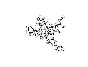 COC(=O)N[C@H](C(=O)N[C@@H](Cc1ccccc1)[C@@H](O)CN(Cc1ccc(-c2ccccn2)cc1)NC(=O)C(C)(C)[C@H](C)NC(=O)OC)C(C)(C)C